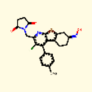 COc1ccc(-c2c(Cl)c(CN3C(=O)CCC3=O)nc3sc4c(c23)CC/C(=N/O)C4)cc1